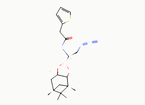 CC1(C)[C@@H]2C[C@H]3OB([C@H](CN=[N+]=[N-])NC(=O)Cc4cccs4)O[C@@]3(C)[C@H]1C2